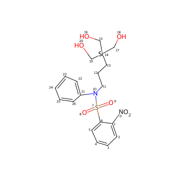 O=[N+]([O-])c1ccccc1S(=O)(=O)N(CCC[Si](CO)(CO)CO)c1ccccc1